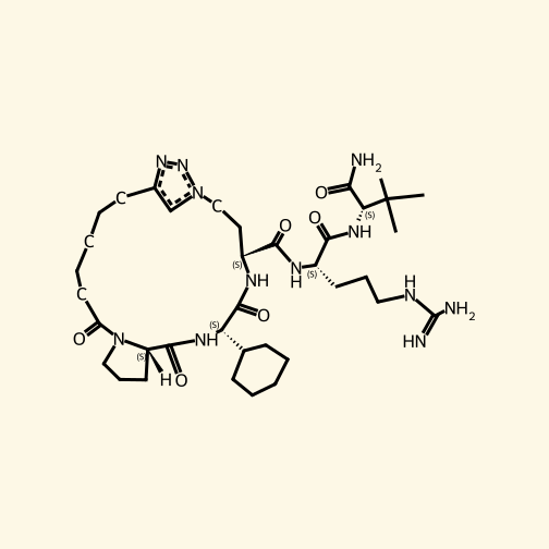 CC(C)(C)[C@H](NC(=O)[C@H](CCCNC(=N)N)NC(=O)[C@@H]1CCn2cc(nn2)CCCCCC(=O)N2CCC[C@H]2C(=O)N[C@@H](C2CCCCC2)C(=O)N1)C(N)=O